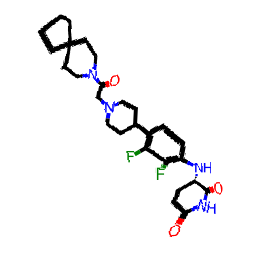 O=C1CC[C@H](Nc2ccc(C3CCN(CC(=O)N4CCC5(CCCC5)CC4)CC3)c(F)c2F)C(=O)N1